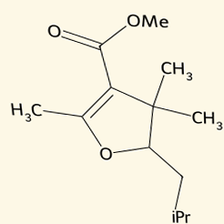 COC(=O)C1=C(C)OC(CC(C)C)C1(C)C